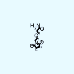 NC(=O)CCOCCN1C(=O)C=CC1=O